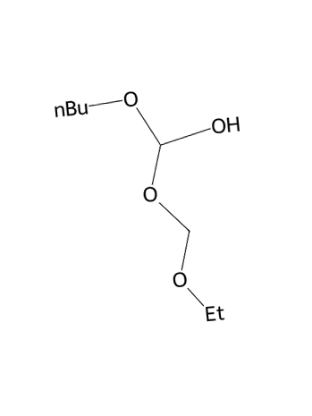 CCCCOC(O)OCOCC